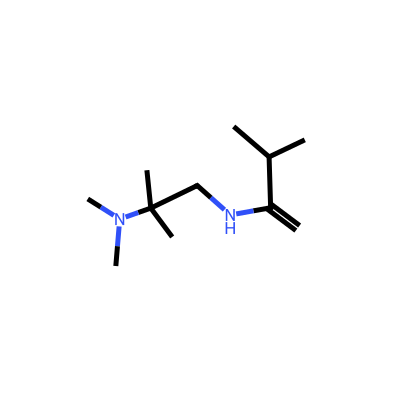 C=C(NCC(C)(C)N(C)C)C(C)C